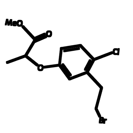 COC(=O)C(C)Oc1ccc(Cl)c(CCBr)c1